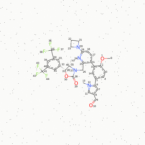 COc1ccc(-c2cc(C=O)cn2C)cc1-c1ccc(N2CCC2)nc1CN1C(=O)O[C@H](c2cc(C(F)(F)F)cc(C(F)(F)F)c2)[C@@H]1C